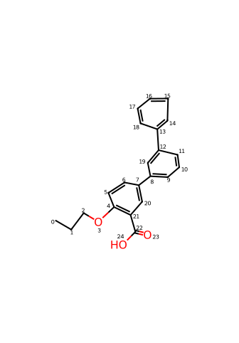 CCCOc1ccc(-c2cccc(-c3ccccc3)c2)cc1C(=O)O